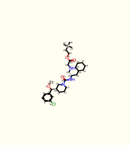 [CH2]COC(c1cccc(Cl)c1)[C@@H]1CCCN(C(=O)N[C@H](CNCC(=O)OCC[Si](C)(C)C)CC2CCCCC2)C1